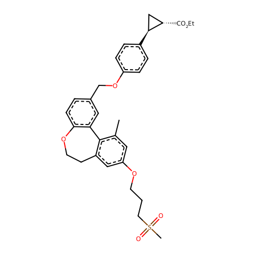 CCOC(=O)[C@H]1C[C@@H]1c1ccc(OCc2ccc3c(c2)-c2c(C)cc(OCCCS(C)(=O)=O)cc2CCO3)cc1